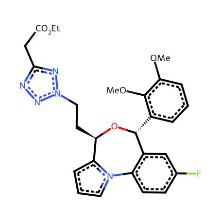 CCOC(=O)Cc1nnn(CC[C@H]2O[C@H](c3cccc(OC)c3OC)c3cc(F)ccc3-n3cccc32)n1